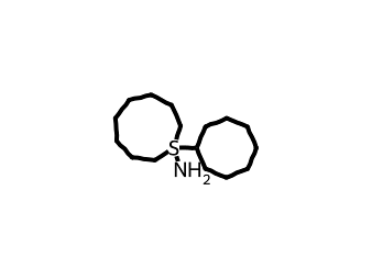 NS1(C2CCCCCCC2)CCCCCCCC1